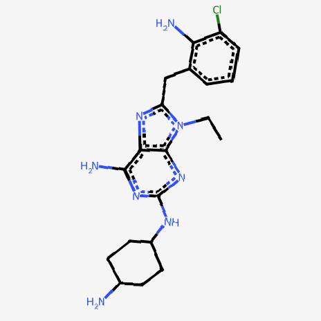 CCn1c(Cc2cccc(Cl)c2N)nc2c(N)nc(NC3CCC(N)CC3)nc21